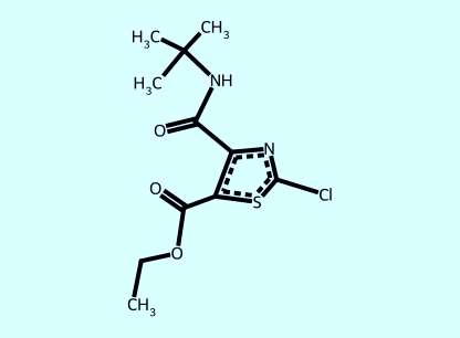 CCOC(=O)c1sc(Cl)nc1C(=O)NC(C)(C)C